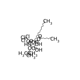 CCCCCCCCCCC[C@H](CC(=O)O[C@H]1[C@H](O)[C@@H](CO)O[C@H](OCC[Si](C)(C)C)[C@H]1NC(=O)OCC(Cl)(Cl)Cl)OC(=O)CCCCCCC